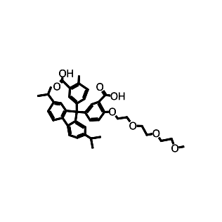 COCCOCCOCCOc1ccc(C2(c3ccc(C)c(C(=O)O)c3)c3cc(C(C)C)ccc3-c3ccc(C(C)C)cc32)cc1C(=O)O